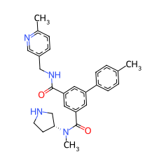 Cc1ccc(-c2cc(C(=O)NCc3ccc(C)nc3)cc(C(=O)N(C)[C@@H]3CCNC3)c2)cc1